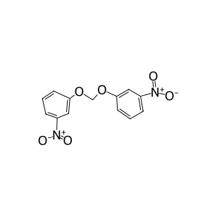 O=[N+]([O-])c1cccc(OCOc2cccc([N+](=O)[O-])c2)c1